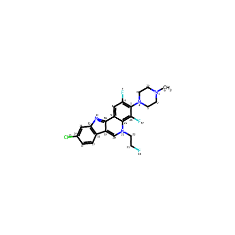 CN1CCN(c2c(F)cc3c4nc5cc(Cl)ccc5c-4cn(CCF)c3c2F)CC1